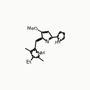 CCc1c(C)[nH]c(/C=C2\N=C(c3ccc[nH]3)C=C2OC)c1C